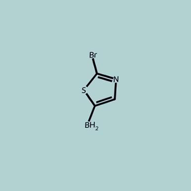 Bc1cnc(Br)s1